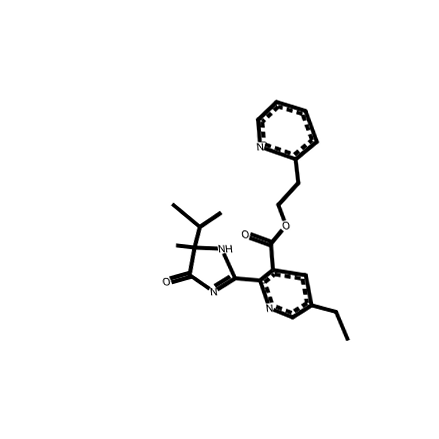 CCc1cnc(C2=NC(=O)C(C)(C(C)C)N2)c(C(=O)OCCc2ccccn2)c1